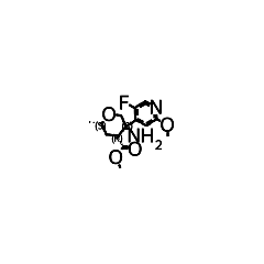 COC(=O)[C@@H]1C[C@H](C)OC[C@@]1(N)c1cc(OC)ncc1F